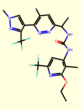 CCOc1nc(C(F)(F)F)cc(NC(=O)NC(C)c2cc(C)c(-c3cn(C)nc3C(F)(F)F)nn2)c1C